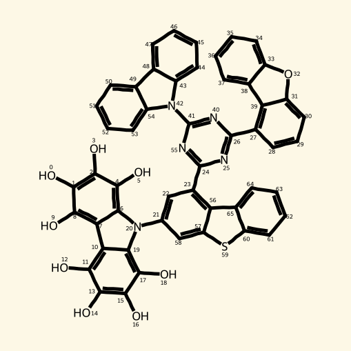 Oc1c(O)c(O)c2c(c1O)c1c(O)c(O)c(O)c(O)c1n2-c1cc(-c2nc(-c3cccc4oc5ccccc5c34)nc(-n3c4ccccc4c4ccccc43)n2)c2c(c1)sc1ccccc12